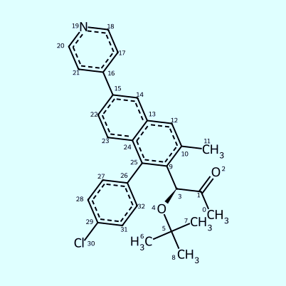 CC(=O)[C@@H](OC(C)(C)C)c1c(C)cc2cc(-c3ccncc3)ccc2c1-c1ccc(Cl)cc1